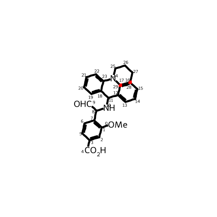 COc1cc(C(=O)O)ccc1C(C=O)NC(c1ccccc1)c1ccccc1N1CCCCC1